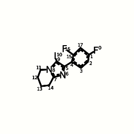 Fc1ccc(-c2nc3n(c2I)CCCC3)c(F)c1